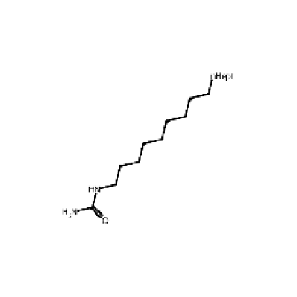 CCCCCCCCCCCCCCCCNC(N)=O